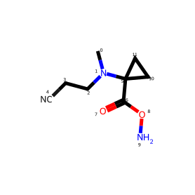 CN(CCC#N)C1(C(=O)ON)CC1